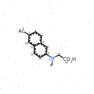 CC(=O)c1ccc2cc(N(C)CC(=O)O)ccc2c1